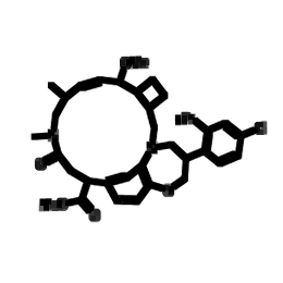 CCCc1cc(Cl)ccc1C1COc2ccc3cc2N(C1)CC1CCC1C(OC)/C=C\C(C)CN(C)C(=O)CC3C(=O)OC